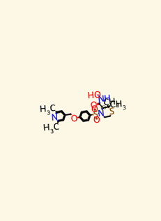 Cc1cc(COc2ccc(S(=O)(=O)N3CCSC(C)(C)[C@@H]3C(=O)NO)cc2)cc(C)n1